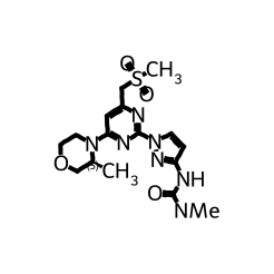 CNC(=O)Nc1ccn(-c2nc(CS(C)(=O)=O)cc(N3CCOC[C@@H]3C)n2)n1